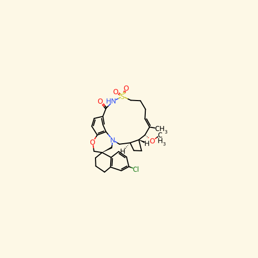 CO[C@H]1/C(C)=C/CCCS(=O)(=O)NC(=O)c2ccc3c(c2)N(C[C@@H]2CC[C@H]21)C[C@@]1(CCCc2cc(Cl)ccc21)CO3